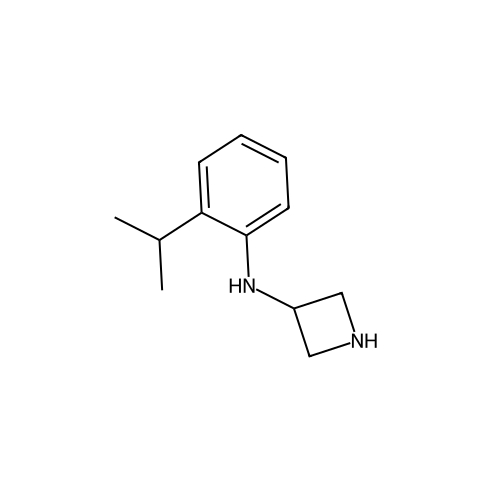 CC(C)c1ccccc1NC1CNC1